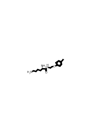 [CH2]c1ccc(OCCNC(=O)[C@@H](N)CCCCN)cc1